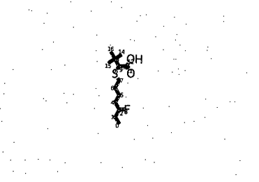 CCC(F)CCCCSC(C(=O)O)C(C)(C)C